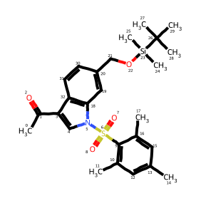 CC(=O)c1cn(S(=O)(=O)c2c(C)cc(C)cc2C)c2cc(CO[Si](C)(C)C(C)(C)C)ccc12